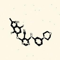 Cc1cc2c(F)c(Oc3ncnc(Nc4cccc(N5CCOCC5)c4)c3C#N)cc(F)c2[nH]1